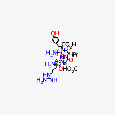 CC(=O)[C@](N)(CCCNC(=N)N)C(=O)N[C@@H](CC(=O)O)C(=O)N[C@H](C(=O)N(C(=O)C(C)(C)N)[C@@H](Cc1ccc(O)cc1)C(=O)O)C(C)C